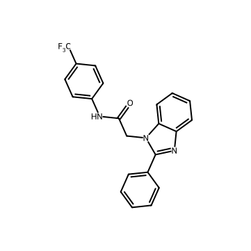 O=C(Cn1c(-c2ccccc2)nc2ccccc21)Nc1ccc(C(F)(F)F)cc1